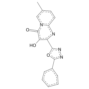 Cc1ccc2nc(-c3nnc(-c4ccccc4)o3)c(O)c(=O)n2c1